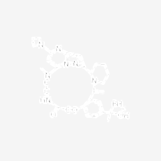 BC(C)(O)c1ccc2c(c1)C(=C)N1CCCCC1c1cc3nc(N4CCC4)cc(n3n1)N(C)CCNC(=O)CO2